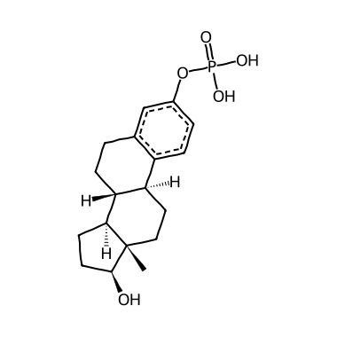 C[C@]12CC[C@@H]3c4ccc(OP(=O)(O)O)cc4CC[C@H]3[C@@H]1CC[C@@H]2O